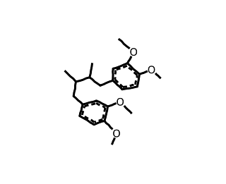 COc1ccc(CC(C)C(C)Cc2ccc(OC)c(OC)c2)cc1OC